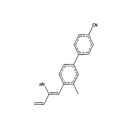 C=C/C(=C/c1ccc(-c2ccc(C#N)cc2)cc1C)CCC